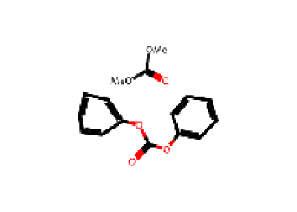 COC(=O)OC.O=C(Oc1ccccc1)Oc1ccccc1